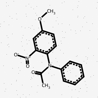 COc1ccc(N(C(C)=O)c2ccccc2)c([N+](=O)[O-])c1